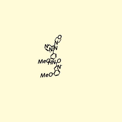 COc1cc(C2=NC(N3CCOCC3)=C3C=NC=C[N+]23C)ccc1NC(=O)c1cc2c(OC)cccc2n1C